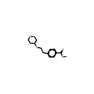 COC(=O)c1ccc(CCOC2CCOCC2)cc1